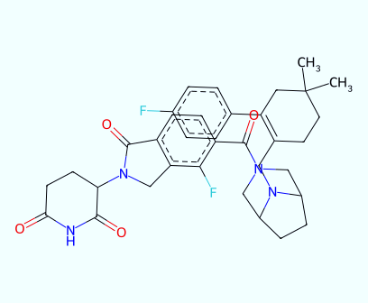 CC1(C)CCC(CN2C3CCC2CN(C(=O)c2ccc4c(c2F)CN(C2CCC(=O)NC2=O)C4=O)C3)=C(c2ccc(F)cc2)C1